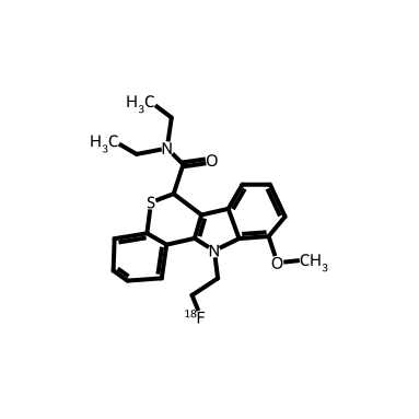 CCN(CC)C(=O)C1Sc2ccccc2-c2c1c1cccc(OC)c1n2CC[18F]